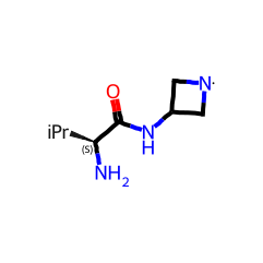 CC(C)[C@H](N)C(=O)NC1C[N]C1